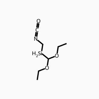 CCOC(OCC)[SiH2]CN=C=O